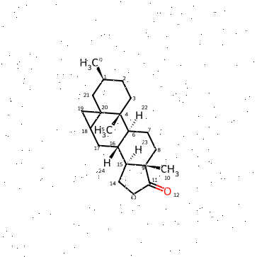 C[C@H]1CC[C@]2(C)[C@H]3CC[C@]4(C)C(=O)CC[C@H]4[C@@H]3CC3CC32C1